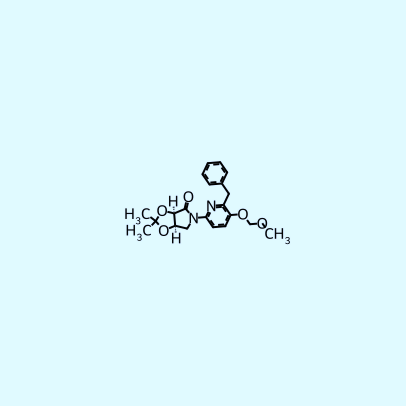 COCOc1ccc(N2C[C@H]3OC(C)(C)O[C@H]3C2=O)nc1Cc1ccccc1